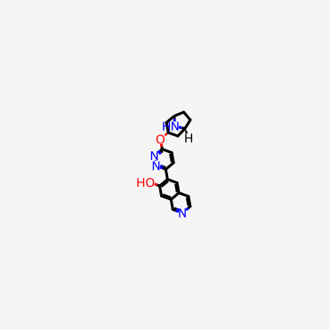 Oc1cc2cnccc2cc1-c1ccc(O[C@H]2CC3CC[C@H](C2)N3)nn1